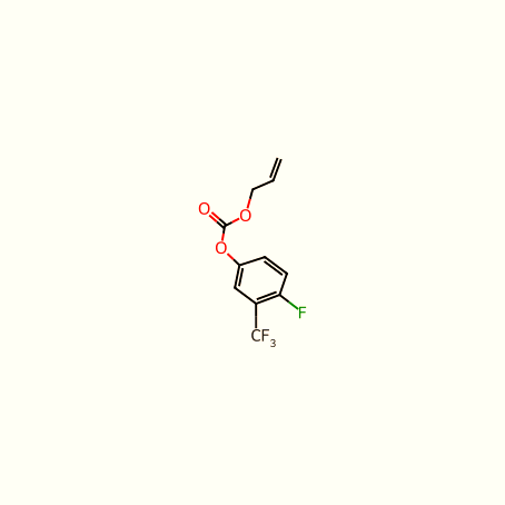 C=CCOC(=O)Oc1ccc(F)c(C(F)(F)F)c1